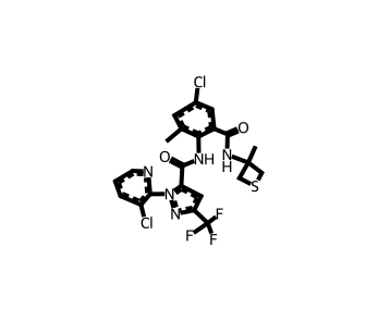 Cc1cc(Cl)cc(C(=O)NC2(C)CSC2)c1NC(=O)c1cc(C(F)(F)F)nn1-c1ncccc1Cl